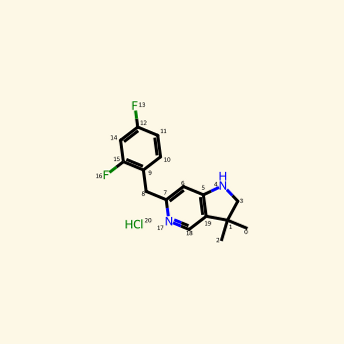 CC1(C)CNc2cc(Cc3ccc(F)cc3F)ncc21.Cl